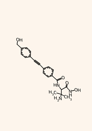 CC(C)(N)C(NC(=O)c1ccc(C#Cc2ccc(CO)cc2)cc1)C(=O)NO